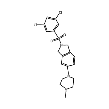 CN1CCN(c2ccc3c(c2)CN(S(=O)(=O)c2cc(Cl)cc(Cl)c2)C3)CC1